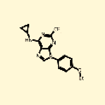 CCOc1ccc(-n2cnc3c(NC4CC4)nc(C(F)(F)F)nc32)cc1